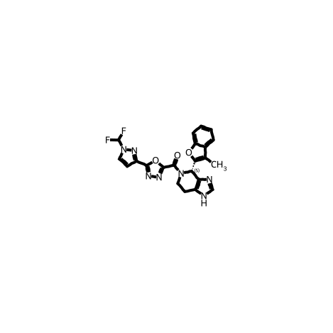 Cc1c([C@@H]2c3nc[nH]c3CCN2C(=O)c2nnc(-c3ccn(C(F)F)n3)o2)oc2ccccc12